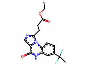 CCOC(=O)CCc1ncc2c(=O)[nH]c3cc(C(C)(F)F)ccc3n12